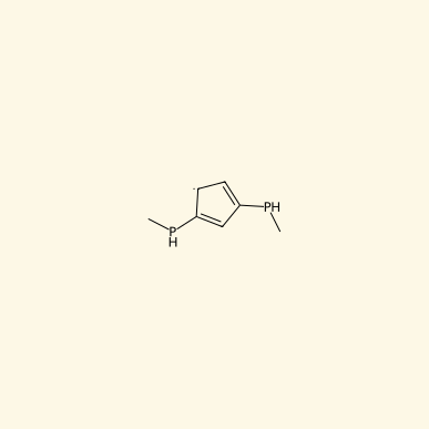 CPC1=CC(PC)=C[CH]1